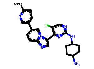 COc1ccc(-c2ccc3ncc(-c4nc(NC5CCC(N)CC5)ncc4Cl)n3c2)cn1